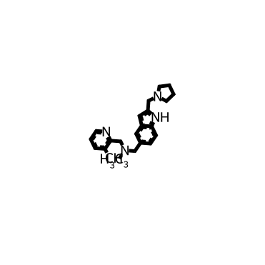 Cc1cccnc1CN(C)Cc1ccc2[nH]c(CN3CCCC3)cc2c1